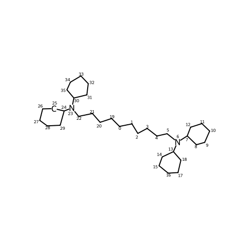 C(CCCCCN(C1CCCCC1)C1CCCCC1)CCCCN(C1CCCCC1)C1CCCCC1